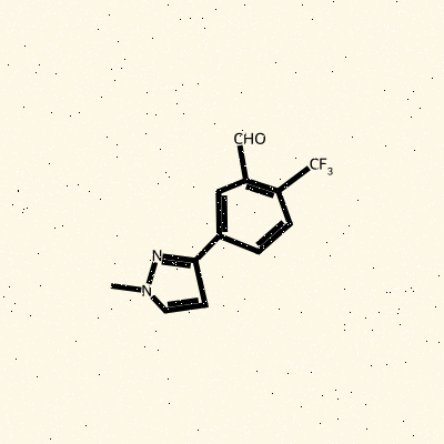 Cn1ccc(-c2ccc(C(F)(F)F)c(C=O)c2)n1